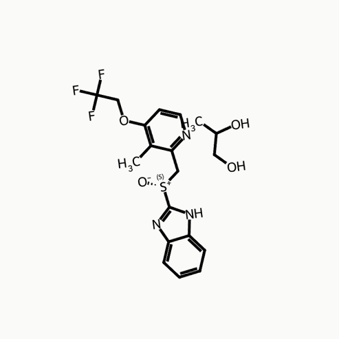 CC(O)CO.Cc1c(OCC(F)(F)F)ccnc1C[S@@+]([O-])c1nc2ccccc2[nH]1